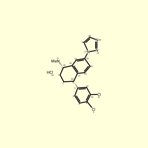 CN[C@H]1CC[C@@H](c2ccc(Cl)c(Cl)c2)c2ccc(-n3ccnn3)cc21.Cl